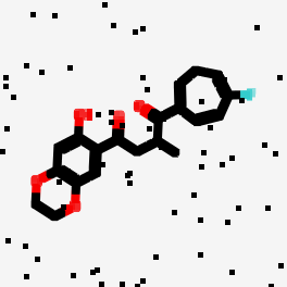 CC(CC(=O)c1cc2c(cc1O)OCCO2)C(=O)C1=CCC=C(F)C=C1